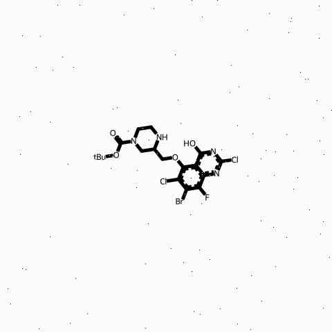 CC(C)(C)OC(=O)N1CCNC(COc2c(Cl)c(Br)c(F)c3nc(Cl)nc(O)c23)C1